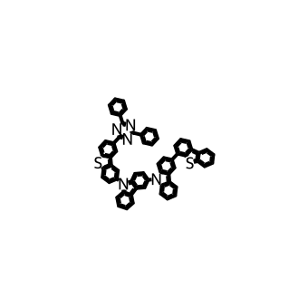 c1ccc(-c2nc(-c3ccccc3)nc(-c3ccc4sc5ccc(-n6c7ccccc7c7cc(-n8c9ccccc9c9cc(-c%10cccc%11c%10sc%10ccccc%10%11)ccc98)ccc76)cc5c4c3)n2)cc1